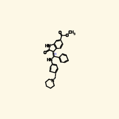 COC(=O)c1ccc2c(c1)NC(=O)/C2=C(\Nc1ccc(CN2CCCCC2)cc1)c1ccccc1